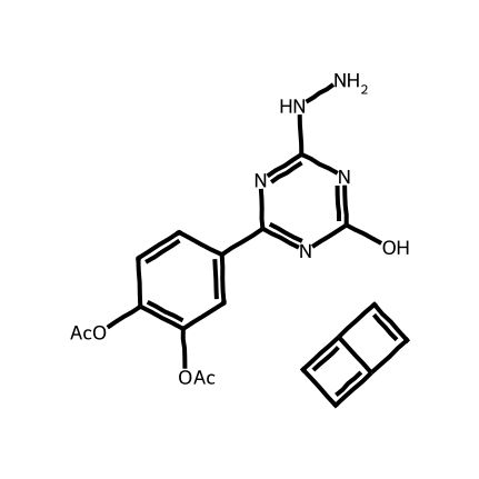 CC(=O)Oc1ccc(-c2nc(O)nc(NN)n2)cc1OC(C)=O.c1cc2ccc1-2